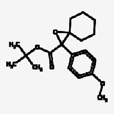 COc1ccc(C2(C(=O)OC(C)(C)C)OC23CCCCC3)cc1